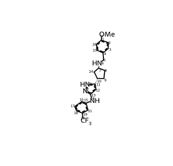 COc1ccc(CN[C@@H]2CC[C@H](c3cc(Nc4cccc(C(F)(F)F)c4)n[nH]3)C2)cc1